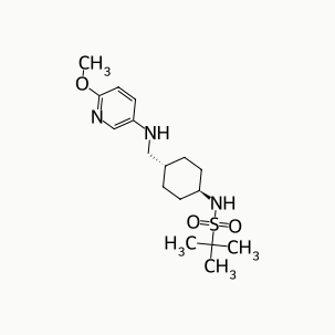 COc1ccc(NC[C@H]2CC[C@H](NS(=O)(=O)C(C)(C)C)CC2)cn1